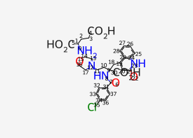 NC(CCC(=O)O)C(=O)O.O=C(NC(CCN1CCOCC1)(Cc1cc(=O)[nH]c2ccccc12)C(=O)O)c1ccc(Cl)cc1